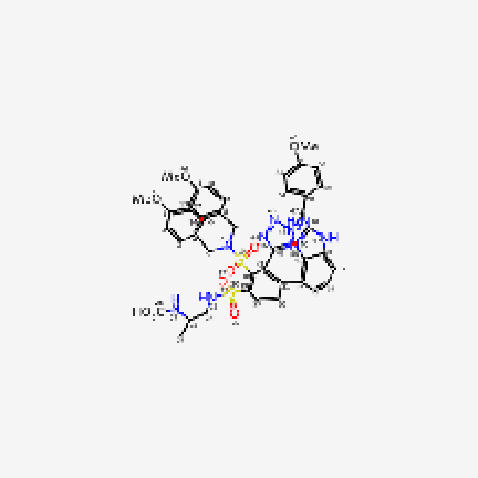 COc1ccc(CN(Cc2ccc(OC)cc2)S(=O)(=O)c2c(S(=O)(=O)NCC(C)NC(=O)O)ccc(-c3cccc4[nH]c(N)nc34)c2-c2nnn(Cc3ccc(OC)cc3)n2)cc1